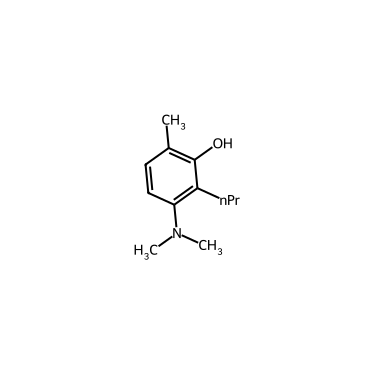 CCCc1c(N(C)C)ccc(C)c1O